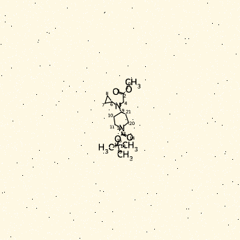 COC(=O)CN(C1CC1)C1CCN(C(=O)OC(C)(C)C)CC1